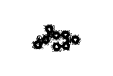 c1ccc(-c2cccc(N(c3ccccc3)c3cccc(-c4ccc5c(c4)c4ccccc4n5-c4ccc5c(c4)sc4ccccc45)c3)c2)cc1